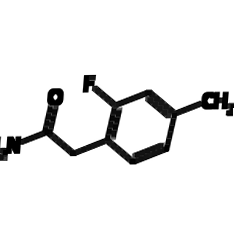 Cc1ccc(CC(N)=O)c(F)c1